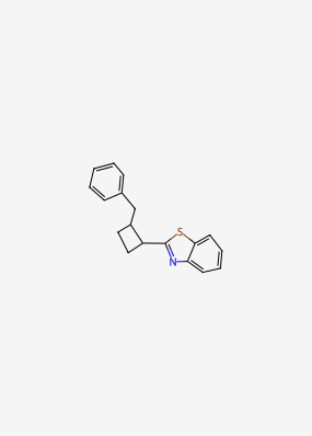 c1ccc(CC2CCC2c2nc3ccccc3s2)cc1